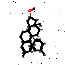 CO[C@H]1CC2=C3CCc4cc(C)ccc4[C@]3(c3ccc(C)cc3)CC[C@@]2(C)C1